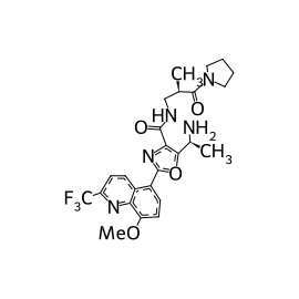 COc1ccc(-c2nc(C(=O)NC[C@@H](C)C(=O)N3CCCC3)c([C@H](C)N)o2)c2ccc(C(F)(F)F)nc12